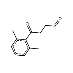 Cc1cccc(C)c1C(=O)CCP=O